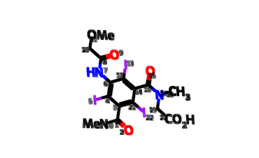 CNC(=O)c1c(I)c(NC(=O)COC)c(I)c(C(=O)N(C)CC(=O)O)c1I